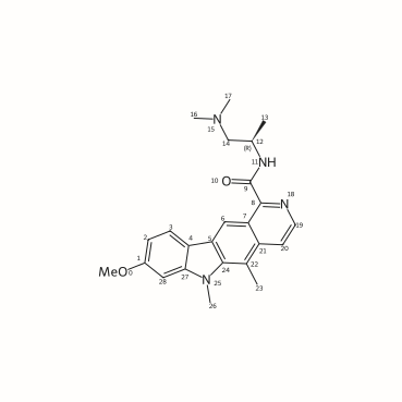 COc1ccc2c3cc4c(C(=O)N[C@H](C)CN(C)C)nccc4c(C)c3n(C)c2c1